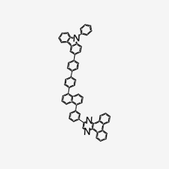 c1ccc(-n2c3ccccc3c3cc(-c4ccc(-c5ccc(-c6cccc7c(-c8cccc(-c9cnc%10c%11ccccc%11c%11ccccc%11c%10n9)c8)cccc67)cc5)cc4)ccc32)cc1